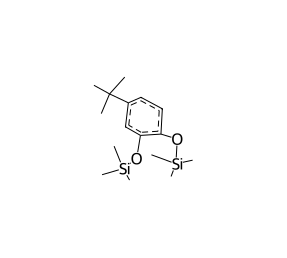 CC(C)(C)c1ccc(O[Si](C)(C)C)c(O[Si](C)(C)C)c1